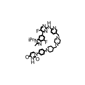 Cc1nc2c(F)cc(-c3nc(Nc4ccc(CN5CCN(CC6CCN(c7ccc(-n8ccc(=O)[nH]c8=O)cc7)CC6)CC5)cn4)ncc3F)cc2n1C(C)C